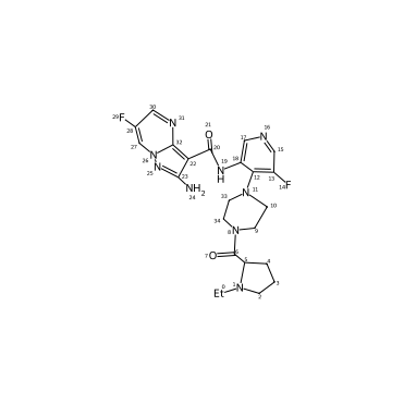 CCN1CCCC1C(=O)N1CCN(c2c(F)cncc2NC(=O)c2c(N)nn3cc(F)cnc23)CC1